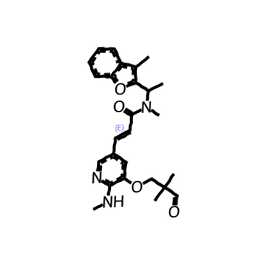 CNc1ncc(/C=C/C(=O)N(C)C(C)c2oc3ccccc3c2C)cc1OCC(C)(C)C=O